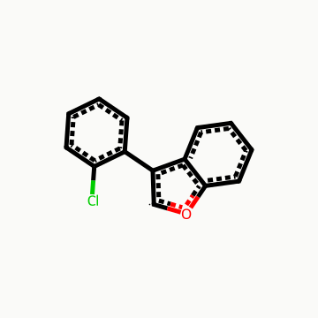 Clc1ccccc1-c1[c]oc2ccccc12